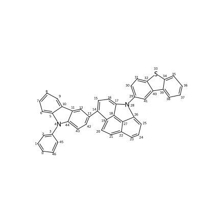 c1ccc(-n2c3ccccc3c3cc(-c4ccc5c6c4ccc4cccc(c46)n5-c4ccc5sc6ccccc6c5c4)ccc32)cc1